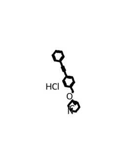 C(#Cc1ccc(COC2CN3CCC2CC3)cc1)c1ccccc1.Cl